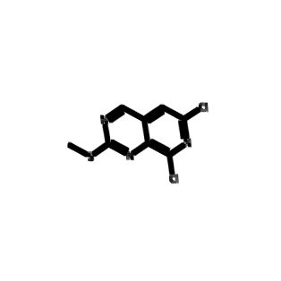 CSc1ncc2cc(Cl)nc(Cl)c2n1